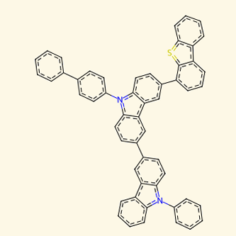 c1ccc(-c2ccc(-n3c4ccc(-c5ccc6c(c5)c5ccccc5n6-c5ccccc5)cc4c4cc(-c5cccc6c5sc5ccccc56)ccc43)cc2)cc1